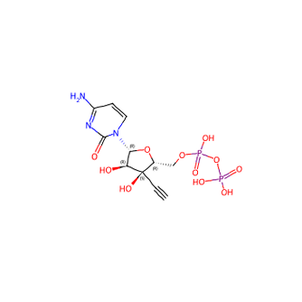 C#C[C@@]1(O)[C@@H](COP(=O)(O)OP(=O)(O)O)O[C@@H](n2ccc(N)nc2=O)[C@@H]1O